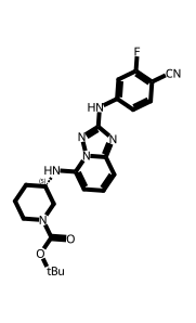 CC(C)(C)OC(=O)N1CCC[C@H](Nc2cccc3nc(Nc4ccc(C#N)c(F)c4)nn23)C1